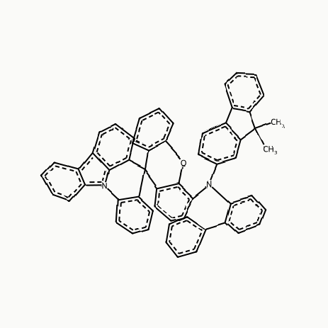 CC1(C)c2ccccc2-c2ccc(N(c3ccccc3-c3ccccc3)c3cccc4c3Oc3ccccc3C43c4ccccc4-n4c5ccccc5c5cccc3c54)cc21